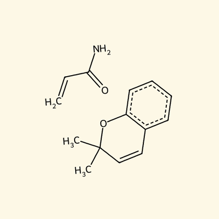 C=CC(N)=O.CC1(C)C=Cc2ccccc2O1